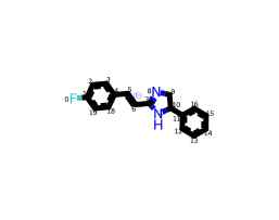 Fc1ccc(/C=C/C2=NCC(c3ccccc3)N2)cc1